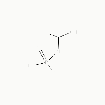 CC(C)[N]P(C)(=O)O